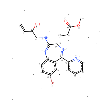 C=CC(O)CNC1=Nc2ccc(Br)cc2C(c2ccccn2)=N[C@H]1CCC(=O)OC